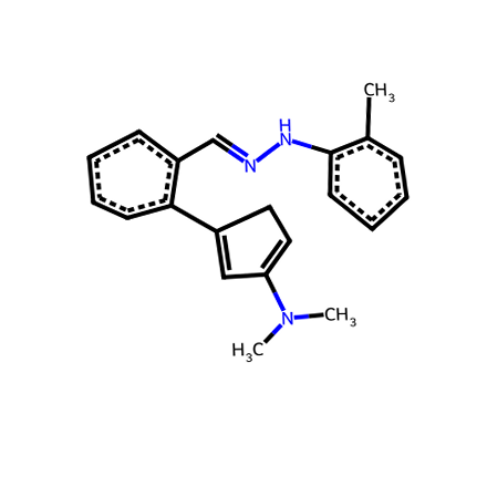 Cc1ccccc1NN=Cc1ccccc1C1=CC(N(C)C)=CC1